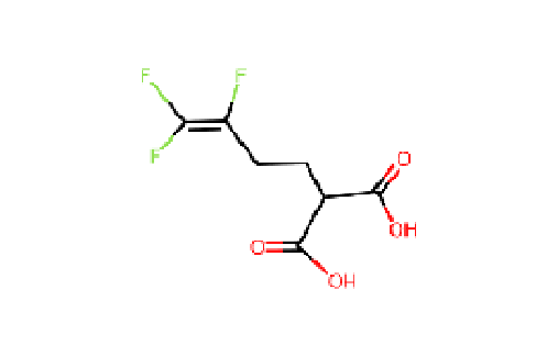 O=C(O)C(CCC(F)=C(F)F)C(=O)O